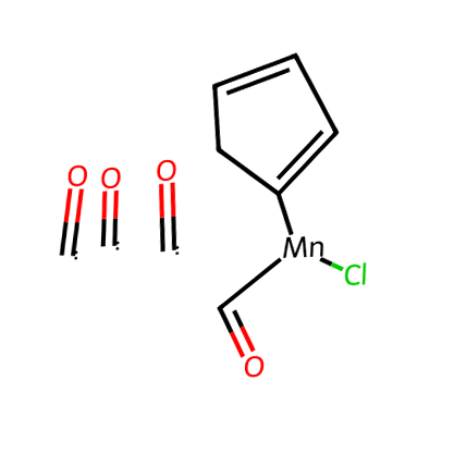 O=[CH][Mn]([Cl])[C]1=CC=CC1.[C]=O.[C]=O.[C]=O